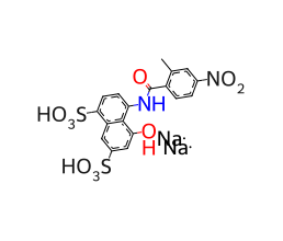 Cc1cc([N+](=O)[O-])ccc1C(=O)Nc1ccc(S(=O)(=O)O)c2cc(S(=O)(=O)O)cc(O)c12.[Na].[Na]